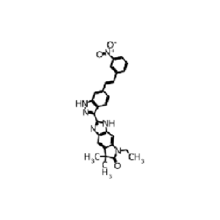 CCN1C(=O)C(C)(C)c2cc3nc(-c4n[nH]c5cc(C=Cc6cccc([N+](=O)[O-])c6)ccc45)[nH]c3cc21